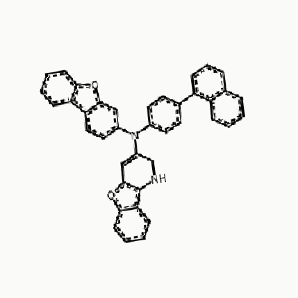 C1=C(N(c2ccc(-c3cccc4ccccc34)cc2)c2ccc3c(c2)oc2ccccc23)CNc2c1oc1ccccc21